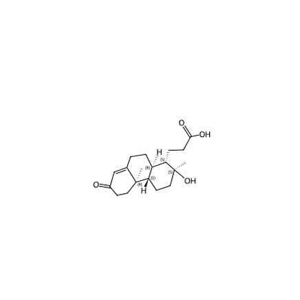 C[C@]1(O)CC[C@H]2[C@@H](CCC3=CC(=O)CC[C@@]32C)[C@@H]1CCC(=O)O